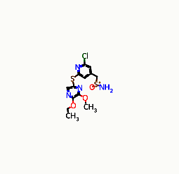 CCOc1ncc(Sc2cc(C[S+](N)[O-])cc(Cl)n2)nc1OC